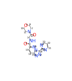 O=C(NCC(=O)N1CCOCC1)c1ccc2nnc(-c3ncccn3)n2n1